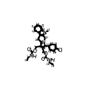 CCNC(=O)OCc1c(COC(=O)NCC)c(-c2ccc(Cl)cc2)n2c1Cc1c(n(C)c3ccccc13)C2